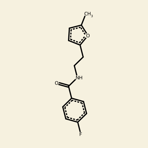 Cc1ccc(CCNC(=O)c2ccc(F)cc2)o1